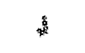 Cc1nc(-c2cccnc2C(C)C)c2n1CCN(c1ccc(-n3cccn3)cc1)C2